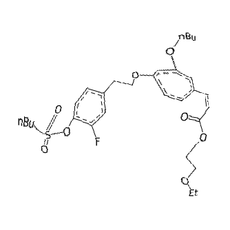 CCCCOc1cc(/C=C\C(=O)OCCOCC)ccc1OCCc1ccc(OS(=O)(=O)CCCC)c(F)c1